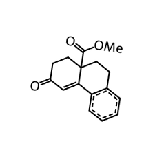 COC(=O)C12CCC(=O)C=C1c1ccccc1CC2